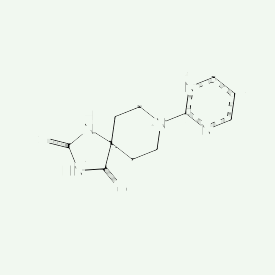 O=C1NC(=O)C2(CCN(c3ncccn3)CC2)N1